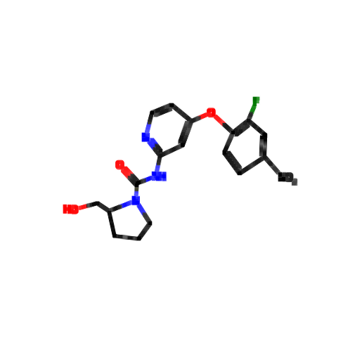 O=C(Nc1cc(Oc2ccc([N+](=O)[O-])cc2F)ccn1)N1CCCC1CO